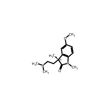 COc1ccc2c(c1)[C@@](C)(CCN(C)C)C(=O)N2C